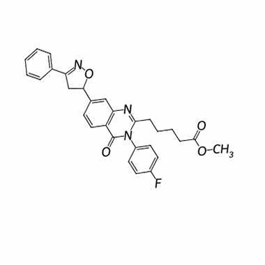 COC(=O)CCCCc1nc2cc(C3CC(c4ccccc4)=NO3)ccc2c(=O)n1-c1ccc(F)cc1